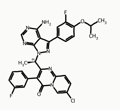 CC(C)Oc1ccc(-c2nn([C@H](C)c3nc4ccc(Cl)cn4c(=O)c3-c3cccc(F)c3)c3ncnc(N)c23)cc1F